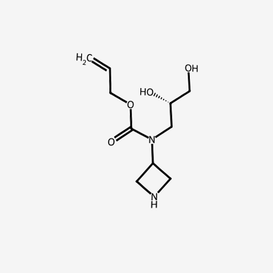 C=CCOC(=O)N(C[C@H](O)CO)C1CNC1